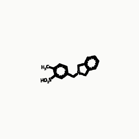 Cc1ccc(CN2Cc3ccccc3C2)cc1S(=O)(=O)O